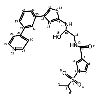 CC(C)S(=O)(=O)n1ccc(C(=O)NCC(O)Nc2nc(-c3cccc(-c4ccncc4)c3)cs2)c1